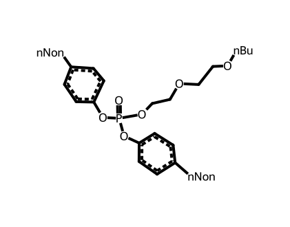 CCCCCCCCCc1ccc(OP(=O)(OCCOCCOCCCC)Oc2ccc(CCCCCCCCC)cc2)cc1